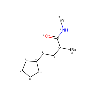 CC(C)NC(=O)C(CCC1CCCC1)C(C)(C)C